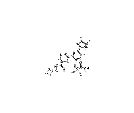 Cc1nc(-c2cc(-c3cncc(C(=O)NCC4CCC4)c3)ccn2)[nH]c1C.O=C(O)C(F)(F)F